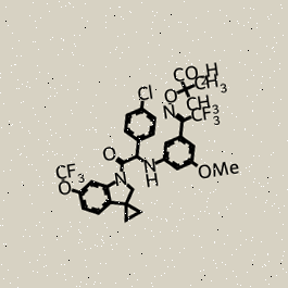 COc1cc(NC(C(=O)N2CC3(CC3)c3ccc(OC(F)(F)F)cc32)c2ccc(Cl)cc2)cc(C(=NOC(C)(C)C(=O)O)C(F)(F)F)c1